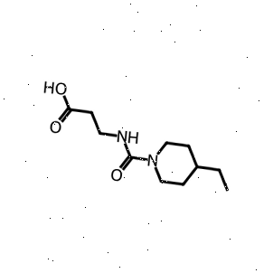 CCC1CCN(C(=O)NCCC(=O)O)CC1